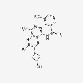 Cc1nnc(N[C@H](C)c2cccc(C(F)(F)F)c2)c2cc(N3CC(O)C3)c(O)nc12